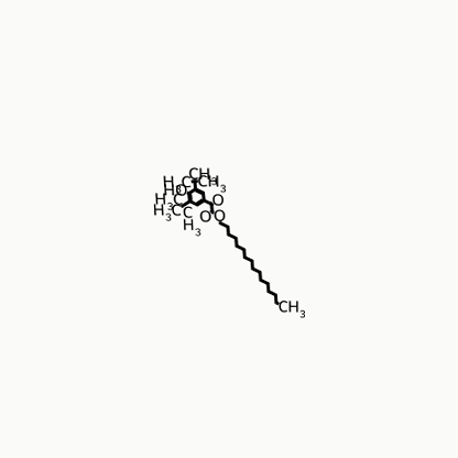 CCCCCCCCCCCCCCCCOC(=O)C(=O)c1cc(C(C)(C)C)c(O)c(C(C)(C)C)c1